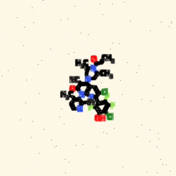 C=CC(=O)N1[C@H](C)CN(c2c(C#N)c(=O)n(-c3c(C)ccnc3C(C)C)c3nc(-c4c(F)c(O)c(Cl)c(F)c4F)c(Cl)cc23)C[C@@H]1C